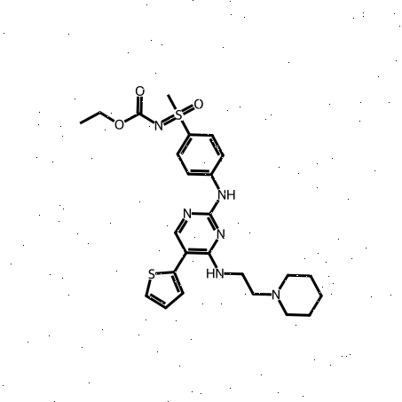 CCOC(=O)N=S(C)(=O)c1ccc(Nc2ncc(-c3cccs3)c(NCCN3CCCCC3)n2)cc1